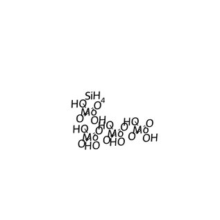 [O]=[Mo](=[O])([OH])[OH].[O]=[Mo](=[O])([OH])[OH].[O]=[Mo](=[O])([OH])[OH].[O]=[Mo](=[O])([OH])[OH].[SiH4]